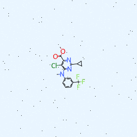 COC(=O)c1nc(C2CC2)nc(N(C)c2cccc(C(F)(F)F)c2)c1Cl